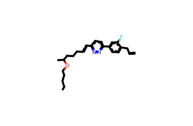 C=CCc1ccc(-c2ccc(/C=C/CCCC(C)OCCCCC)nn2)cc1F